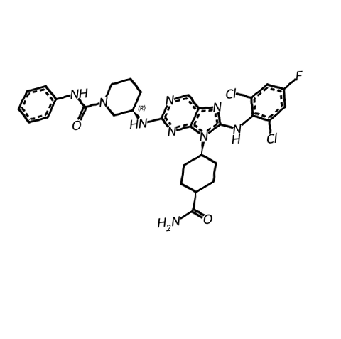 NC(=O)[C@H]1CC[C@@H](n2c(Nc3c(Cl)cc(F)cc3Cl)nc3cnc(N[C@@H]4CCCN(C(=O)Nc5ccccc5)C4)nc32)CC1